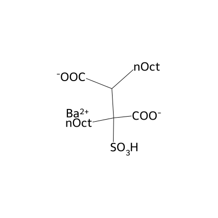 CCCCCCCCC(C(=O)[O-])C(CCCCCCCC)(C(=O)[O-])S(=O)(=O)O.[Ba+2]